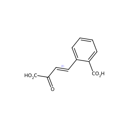 O=C(O)C(=O)/C=C/c1ccccc1C(=O)O